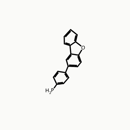 Pc1ccc(-c2ccc3oc4ccccc4c3c2)cc1